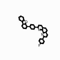 Fc1ccc(-c2ccc3ccc4ccc(-c5ccc(-c6cccc7c6oc6ccccc67)cc5)nc4c3n2)cc1